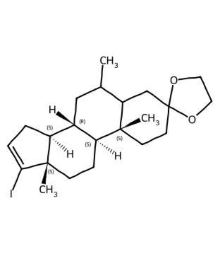 CC1C[C@@H]2[C@H](CC[C@]3(C)C(I)=CC[C@@H]23)[C@@]2(C)CCC3(CC12)OCCO3